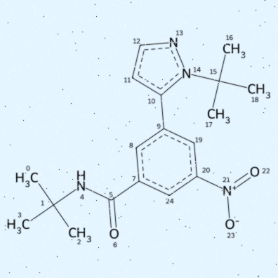 CC(C)(C)NC(=O)c1cc(-c2ccnn2C(C)(C)C)cc([N+](=O)[O-])c1